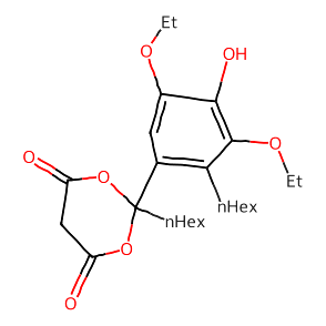 CCCCCCc1c(C2(CCCCCC)OC(=O)CC(=O)O2)cc(OCC)c(O)c1OCC